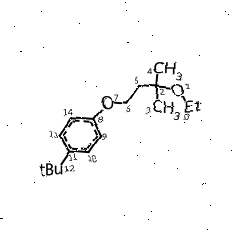 CCOC(C)(C)CCOc1ccc(C(C)(C)C)cc1